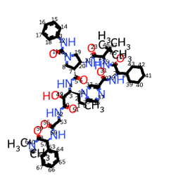 CCC[C@H](NC(=O)[C@@H]1CN(C(=O)Nc2ccccc2)C[C@@H]1NC(=O)C(NC(=O)C(NC(=O)c1cnccn1)C1CCCCC1)C(C)(C)C)C(O)C(=O)NCC(=O)N[C@H](C(=O)N(C)C)c1ccccc1